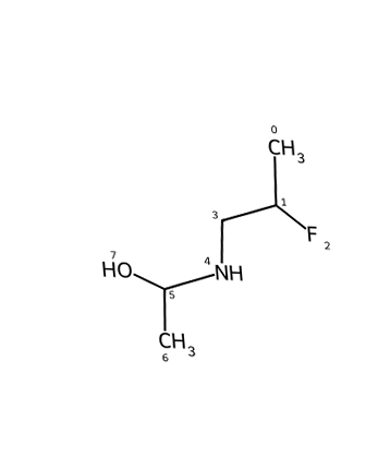 CC(F)CNC(C)O